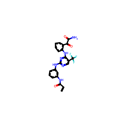 C=CC(=O)Nc1cccc(Nc2ncc(C(F)(F)F)c(Nc3ccccc3C(=O)C(N)=O)n2)c1